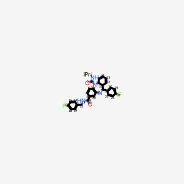 CC(C)NC(=O)N1c2ccc(C(=O)NCc3ccc(F)cc3)cc2N=C(c2ccc(F)cc2)C2C=CC=CC21